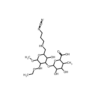 CCONC1C(OC)OC(CNCCCN=[N+]=[N-])C(O)C1OC1OC(C(=O)O)C(C)C(O)C1O